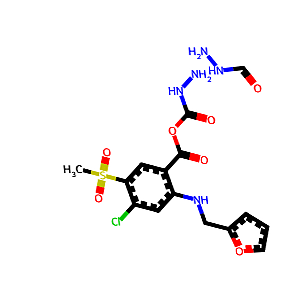 CS(=O)(=O)c1cc(C(=O)OC(=O)NN)c(NCc2ccco2)cc1Cl.NNC=O